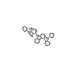 c1ccc(-n2cnc3c2NCN=C3n2c3ccccc3c3c4c5ccccc5n(-c5ccccc5)c4ccc32)cc1